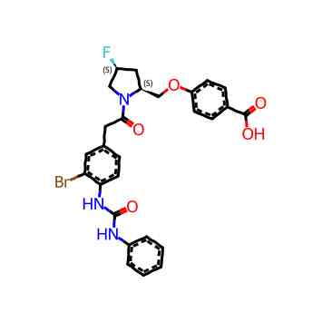 O=C(Nc1ccccc1)Nc1ccc(CC(=O)N2C[C@@H](F)C[C@H]2COc2ccc(C(=O)O)cc2)cc1Br